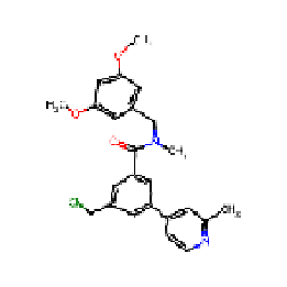 COc1cc(CN(C)C(=O)c2cc(CCl)cc(-c3ccnc(C)c3)c2)cc(OC)c1